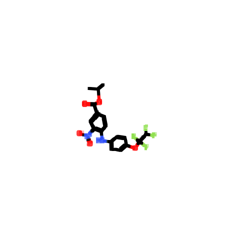 CC(C)OC(=O)c1ccc(Nc2ccc(OC(F)(F)C(F)F)cc2)c([N+](=O)[O-])c1